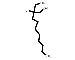 CCCCCCCCC(N)(CC)CO